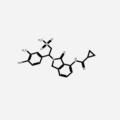 Cc1cc(C(CS(C)(=O)=O)N2Cc3cccc(NC(=O)C4CC4)c3C2=O)ccc1O